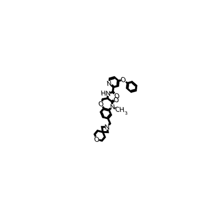 CN1C(=O)C(NC(=O)c2cc(Oc3ccccc3)ccn2)COc2ccc(CN3CC4(CCOCC4)C3)cc21